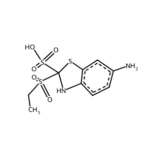 CCS(=O)(=O)C1(S(=O)(=O)O)Nc2ccc(N)cc2S1